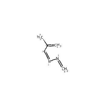 C=N/N=C\C(=C)C